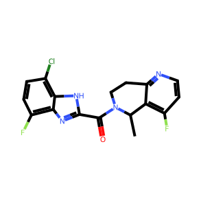 CC1c2c(F)ccnc2CCN1C(=O)c1nc2c(F)ccc(Cl)c2[nH]1